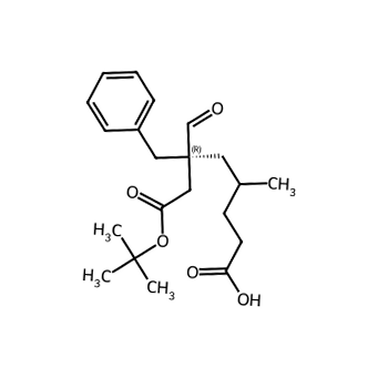 CC(CCC(=O)O)C[C@](C=O)(CC(=O)OC(C)(C)C)Cc1ccccc1